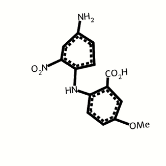 COc1ccc(Nc2ccc(N)cc2[N+](=O)[O-])c(C(=O)O)c1